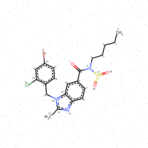 CCCCCN(C(=O)c1ccc2nc(C)n(Cc3ccc(Br)cc3Cl)c2c1)[SH](=O)=O